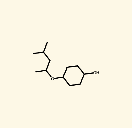 CC(C)CC(C)OC1CCC(O)CC1